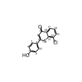 O=c1cc(-c2ccc(O)cc2)sc2c(Cl)cccc12